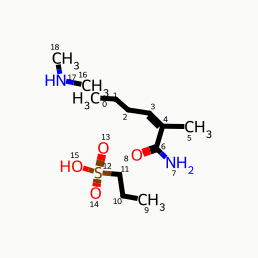 CCCC=C(C)C(N)=O.CCCS(=O)(=O)O.CNC